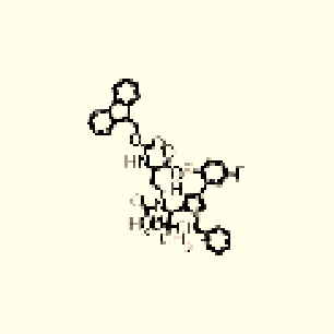 CC(=O)N(CCC(NC(=O)OCC1c2ccccc2-c2ccccc21)C(=O)O)C(c1cc(-c2cc(F)ccc2F)cn1Cc1ccccc1)C(C)(C)C